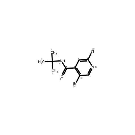 CC(C)(C)NC(=O)c1cc(Cl)ncc1Br